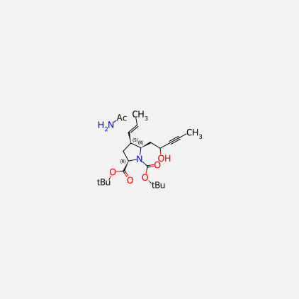 CC#CC(O)C[C@@H]1[C@H](C=CC)C[C@H](C(=O)OC(C)(C)C)N1C(=O)OC(C)(C)C.CC(N)=O